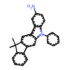 CC1(C)c2ccccc2-c2cc3c(cc21)c1cc(N)ccc1n3-c1ccccc1